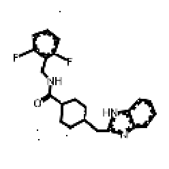 O=C(NCc1c(F)cccc1F)C1CCC(Cc2nc3ccccc3[nH]2)CC1